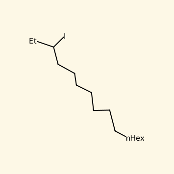 CCCCCCCCCCCCCC(I)CC